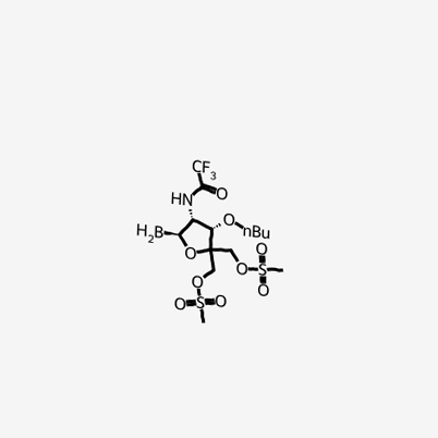 B[C@@H]1OC(COS(C)(=O)=O)(COS(C)(=O)=O)[C@@H](OCCCC)[C@H]1NC(=O)C(F)(F)F